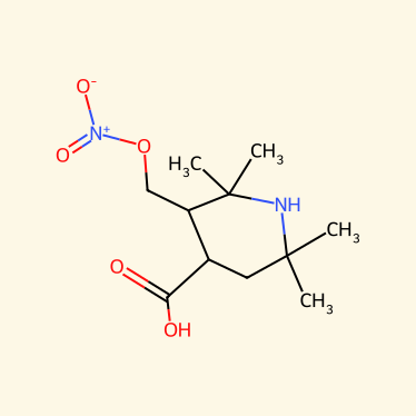 CC1(C)CC(C(=O)O)C(CO[N+](=O)[O-])C(C)(C)N1